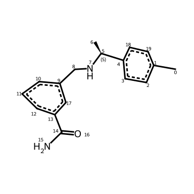 Cc1ccc([C@H](C)NCc2cccc(C(N)=O)c2)cc1